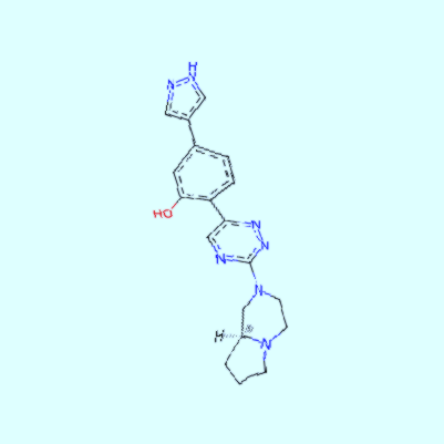 Oc1cc(-c2cn[nH]c2)ccc1-c1cnc(N2CCN3CCC[C@H]3C2)nn1